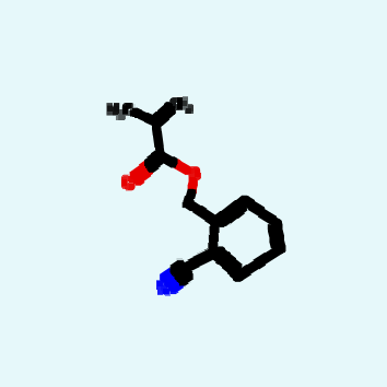 C=C(C)C(=O)OCc1ccccc1C#N